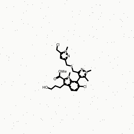 COC(=O)c1c(CCCO)c2ccc(Cl)c(-c3c(CSCc4cc(CCl)n(C)n4)nn(C)c3C)c2n1C